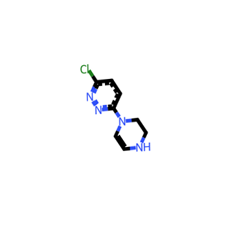 Clc1ccc(N2C=CNCC2)nn1